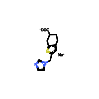 O=C([O-])C1CCc2cc(Cn3ccnc3)sc2C1.[Na+]